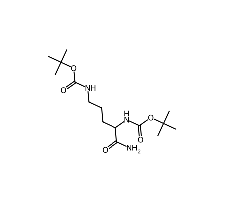 CC(C)(C)OC(=O)NCCCC(NC(=O)OC(C)(C)C)C(N)=O